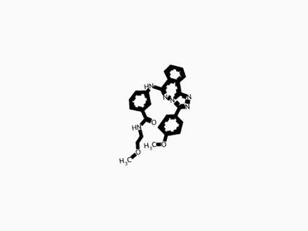 COCCNC(=O)c1cccc(Nc2nn3c(-c4ccc(OC)cc4)nnc3c3ccccc23)c1